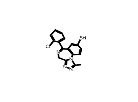 Cc1nnc2n1-c1ccc(S)cc1C(c1ccccc1Cl)=NC2